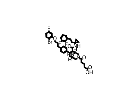 O=C(O)CCCC(=O)N1C[C@H]2CC(c3ccc(CCCOc4cc(F)ccc4Br)cc3)=C(C(=O)NC3(CCc4cccc(F)c4F)CC3)[C@@H](C1)N2